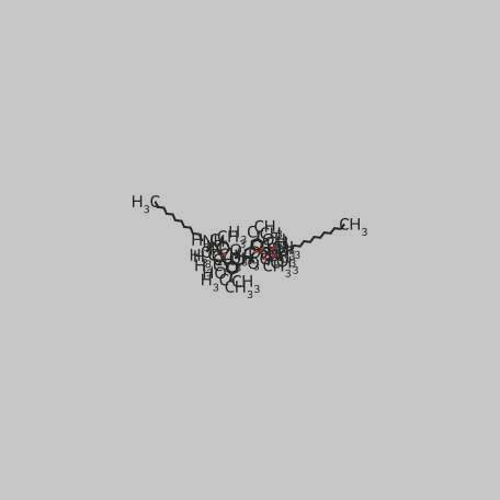 CCCCCCCCCCCCNC(=O)N1C(C)(C)CC(OC(=O)C(Cc2cc(C(C)(C)C)c(O)c(C(C)(C)C)c2)(Cc2cc(C(C)(C)C)c(O)c(C(C)(C)C)c2)C(=O)OC2CC(C)(C)N(C(=O)NCCCCCCCCCCCC)C(C)(C)C2)CC1(C)C